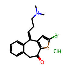 CN(C)CC/C=C1/c2ccccc2CC(=O)c2sc(Br)cc21.Cl